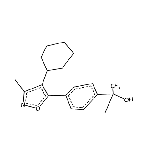 Cc1noc(-c2ccc(C(C)(O)C(F)(F)F)cc2)c1C1CCCCC1